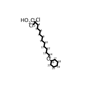 O=C(O)C(Cl)(Cl)CCCCCCCCCCCOC1CCCCC1